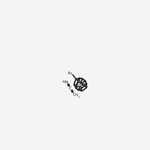 C=C=N.CC(=O)[C]12[CH]3[CH]4[CH]5[CH]1[Fe]45321678[CH]2[CH]1[CH]6[CH]7[CH]28